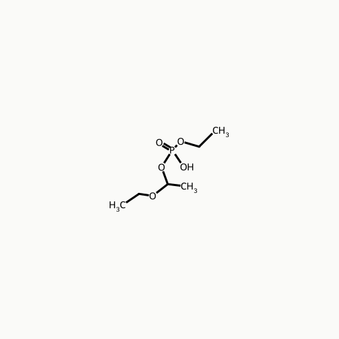 CCOC(C)OP(=O)(O)OCC